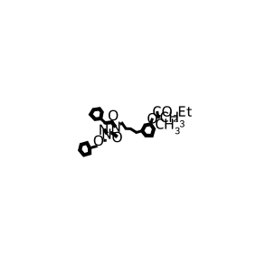 CCOC(=O)C(C)(C)Oc1cccc(CCCCn2c(=O)c(-c3ccccc3)nn(COCc3ccccc3)c2=O)c1